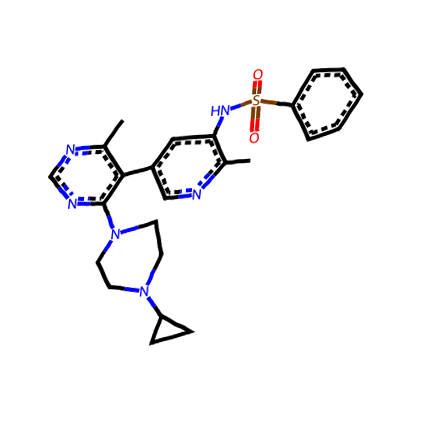 Cc1ncc(-c2c(C)ncnc2N2CCN(C3CC3)CC2)cc1NS(=O)(=O)c1ccccc1